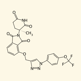 C[C@]1(N2C(=O)c3cccc(OCc4cn(-c5ccc(OC(F)(F)F)cc5)nn4)c3C2=O)CCC(=O)NC1=O